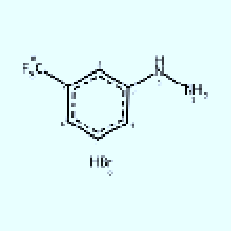 Br.NNc1cccc(C(F)(F)F)c1